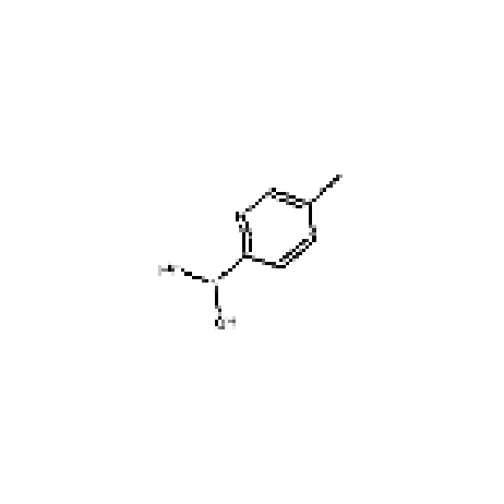 Cc1ccc(N(O)O)nc1